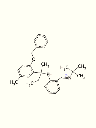 CCC(C)(Pc1ccccc1/C=N/C(C)(C)C)c1cc(C)ccc1OCc1ccccc1